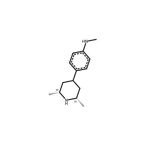 CNc1ccc(C2C[C@@H](C)N[C@@H](C)C2)cc1